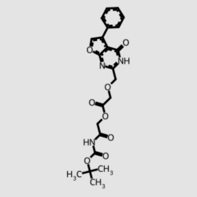 CC(C)(C)OC(=O)NC(=O)COC(=O)COCc1nc2occ(-c3ccccc3)c2c(=O)[nH]1